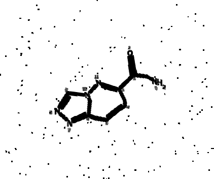 NC(=O)c1ccc2nncn2n1